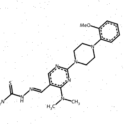 COc1ccccc1N1CCN(c2ncc(C=NNC(N)=S)c(N(C)C)n2)CC1